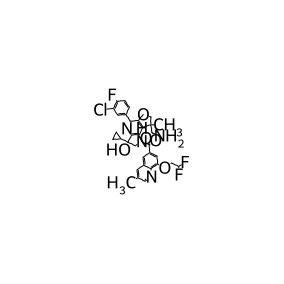 Cc1cnc2c(OCC(F)F)cc(C(=O)NCC(O)(c3cc4c(c(-c5ccc(F)c(Cl)c5)n3)OC[C@]4(C)C(N)=O)C3CC3)cc2c1